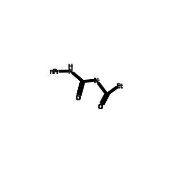 CCCNC(=O)[N]C(=O)CC